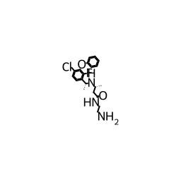 C[C@H](CC(=O)NCCN)N[C@H](C)c1ccc(Cl)c(Oc2ccccc2)c1F